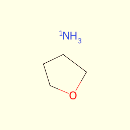 C1CCOC1.[1NH3]